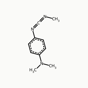 CN=C=Nc1ccc(N(C)C)cc1